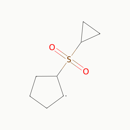 O=S(=O)(C1[CH]CCC1)C1CC1